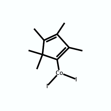 CC1=C(C)C(C)(C)[C]([Co]([I])[I])=C1C